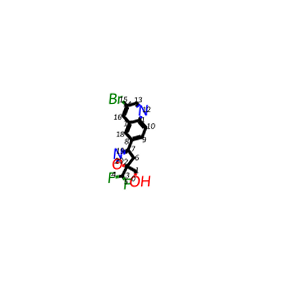 OCC1(C(F)F)CC(c2ccc3ncc(Br)cc3c2)=NO1